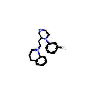 Cc1cccc(N2CCNCC2CCN2CCCc3ccccc32)c1